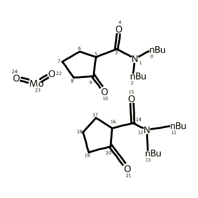 CCCCN(CCCC)C(=O)C1CCCC1=O.CCCCN(CCCC)C(=O)C1CCCC1=O.[O]=[Mo]=[O]